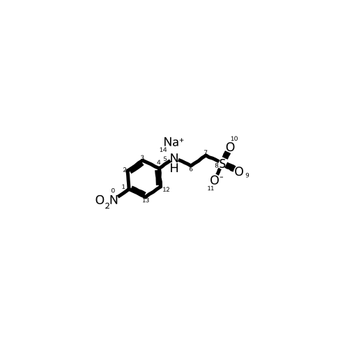 O=[N+]([O-])c1ccc(NCCS(=O)(=O)[O-])cc1.[Na+]